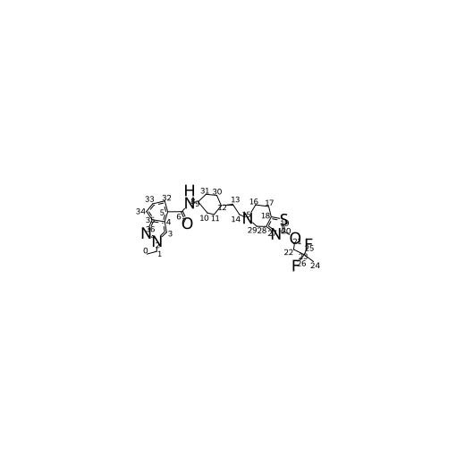 CCn1cc2c(C(=O)N[C@H]3CC[C@H](CCN4CCc5sc(OCC(C)(F)F)nc5C4)CC3)cccc2n1